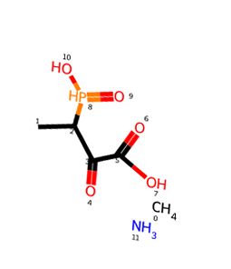 C.CC(C(=O)C(=O)O)[PH](=O)O.N